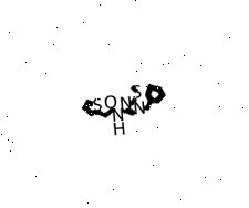 CSc1nc(NC(=O)Cc2cccs2)cn1Cc1ccccc1